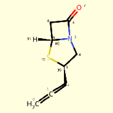 C=C=C[C@@H]1CN2C(=O)C[C@H]2S1